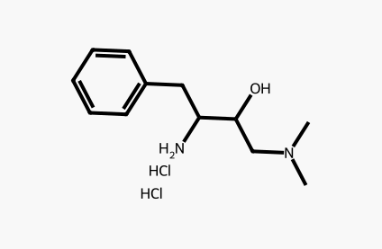 CN(C)CC(O)C(N)Cc1ccccc1.Cl.Cl